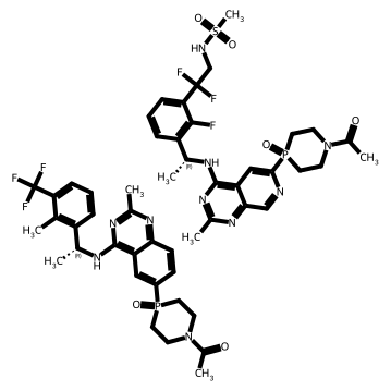 CC(=O)N1CCP(=O)(c2cc3c(N[C@H](C)c4cccc(C(F)(F)CNS(C)(=O)=O)c4F)nc(C)nc3cn2)CC1.CC(=O)N1CCP(=O)(c2ccc3nc(C)nc(N[C@H](C)c4cccc(C(F)(F)F)c4C)c3c2)CC1